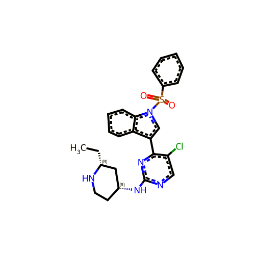 CC[C@@H]1C[C@H](Nc2ncc(Cl)c(-c3cn(S(=O)(=O)c4ccccc4)c4ccccc34)n2)CCN1